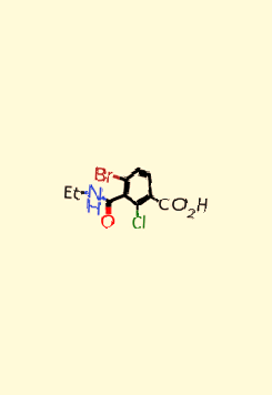 CCNC(=O)c1c(Br)ccc(C(=O)O)c1Cl